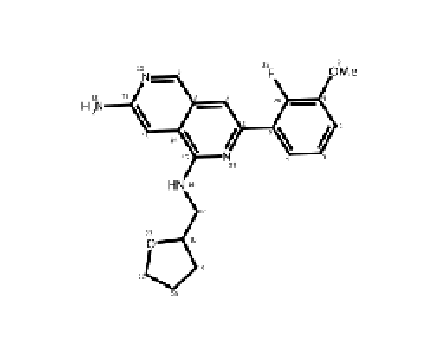 COc1cccc(-c2cc3cnc(N)cc3c(NCC3CCCO3)n2)c1F